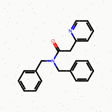 O=C(Cc1ccccn1)N(Cc1ccccc1)Cc1ccccc1